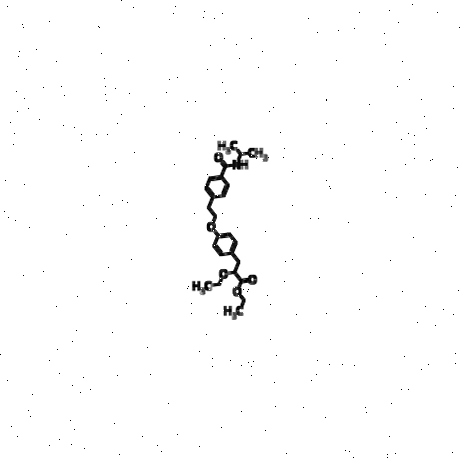 CCOC(=O)C(Cc1ccc(OCCc2ccc(C(=O)NC(C)C)cc2)cc1)OCC